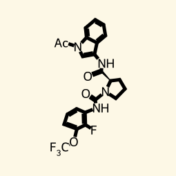 CC(=O)n1cc(NC(=O)[C@H]2CCCN2C(=O)Nc2cccc(OC(F)(F)F)c2F)c2ccccc21